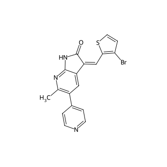 Cc1nc2c(cc1-c1ccncc1)C(=Cc1sccc1Br)C(=O)N2